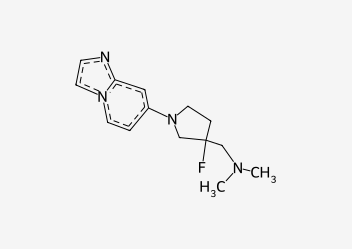 CN(C)CC1(F)CCN(c2ccn3ccnc3c2)C1